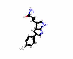 N#Cc1ccc(-c2cnc3[nH]cc(C=CC(N)=O)c3c2)cc1